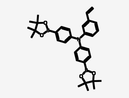 C=Cc1cccc(N(c2ccc(B3OC(C)(C)C(C)(C)O3)cc2)c2ccc(B3OC(C)(C)C(C)(C)O3)cc2)c1